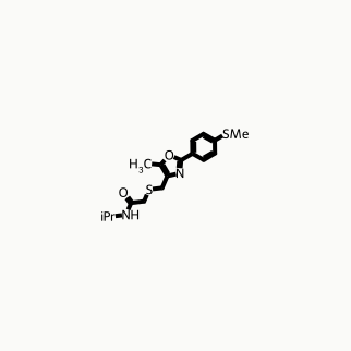 CSc1ccc(-c2nc(CSCC(=O)NC(C)C)c(C)o2)cc1